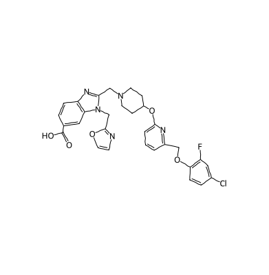 O=C(O)c1ccc2nc(CN3CCC(Oc4cccc(COc5ccc(Cl)cc5F)n4)CC3)n(Cc3ncco3)c2c1